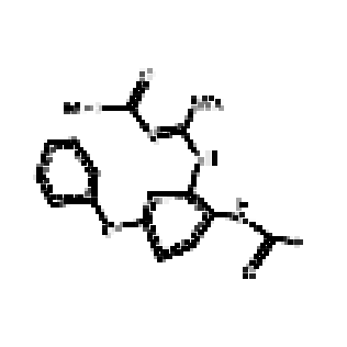 CCC(=O)Nc1ccc(Oc2ccccc2)cc1NC(=NC(=O)OC)SC